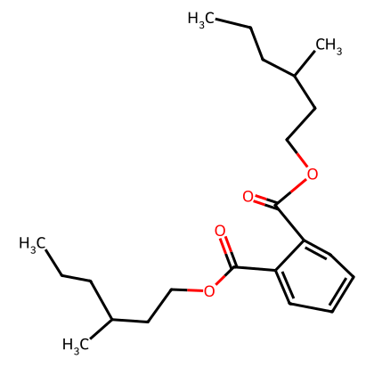 CCCC(C)CCOC(=O)c1ccccc1C(=O)OCCC(C)CCC